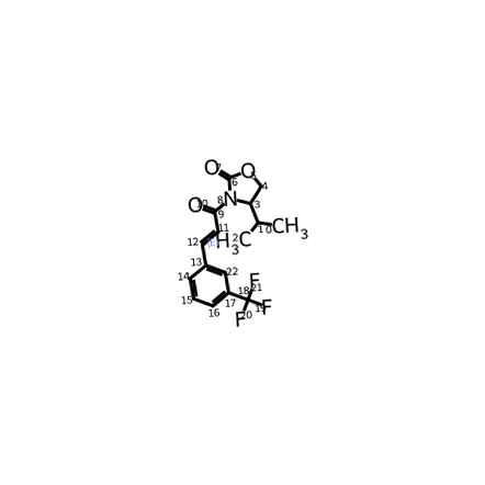 CC(C)C1COC(=O)N1C(=O)/C=C/c1cccc(C(F)(F)F)c1